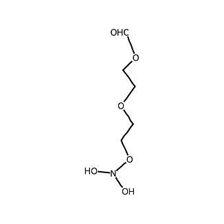 O=COCCOCCON(O)O